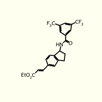 CCOC(=O)/C=C/c1ccc2c(c1)CCC2NC(=O)c1cc(C(F)(F)F)cc(C(F)(F)F)c1